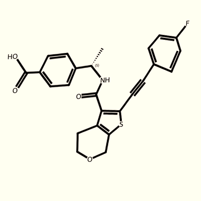 C[C@H](NC(=O)c1c(C#Cc2ccc(F)cc2)sc2c1CCOC2)c1ccc(C(=O)O)cc1